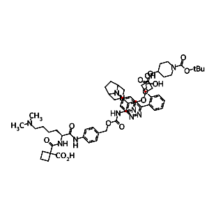 CN(C)CCCC[C@H](NC(=O)C1(C(=O)O)CCC1)C(=O)Nc1ccc(COC(=O)Nc2nnc(-c3ccccc3OP(=O)(O)O)cc2N2CC3CCC(C2)N3c2ccnc(OC3CC(OC4CCN(C(=O)OC(C)(C)C)CC4)C3)c2)cc1